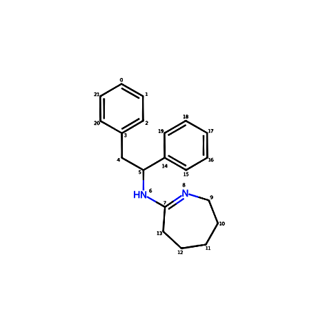 c1ccc(CC(NC2=NCCCCC2)c2ccccc2)cc1